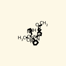 C=CC(=O)N1CC2(CCN(c3nc4c(c(N[C@H](Cc5ncc[nH]5)CC(C)C)n3)CCCC4)C2)C1